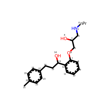 CCCNCC(O)COc1ccccc1C(O)CCc1ccc(C)cc1